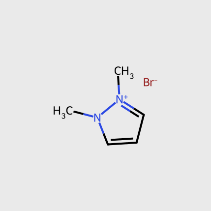 Cn1ccc[n+]1C.[Br-]